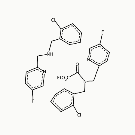 CCOC(=O)C(=O)N(Cc1ccc(F)cn1)Cc1ccccc1Cl.Fc1ccc(CNCc2ccccc2Cl)nc1